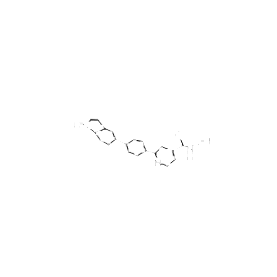 O=C(NO)c1ccnc(-c2ccc(-c3ccc4[nH]ccc4c3)cc2)c1